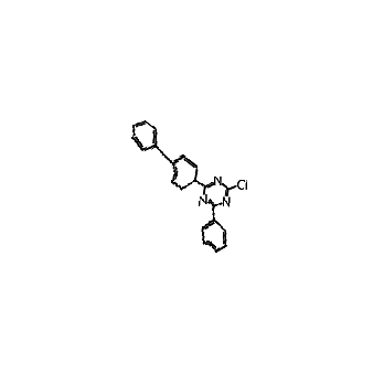 Clc1nc(-c2ccccc2)nc(C2C=CC(c3ccccc3)=CC2)n1